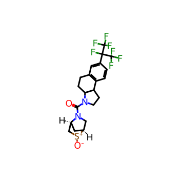 O=C(N1CCC2c3ccc(C(F)(C(F)(F)F)C(F)(F)F)cc3CCC21)N1C[C@@H]2C[C@H]1C[S+]2[O-]